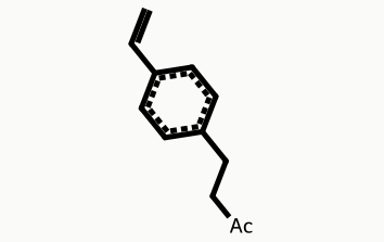 C=Cc1ccc(CCC(C)=O)cc1